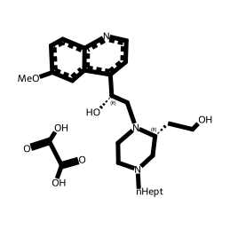 CCCCCCCN1CCN(C[C@H](O)c2ccnc3ccc(OC)cc23)[C@H](CCO)C1.O=C(O)C(=O)O